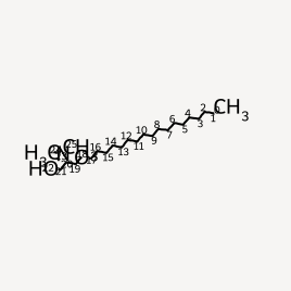 CCCCCCCCCCCCCCCCCCOCC(CO)N(C)C